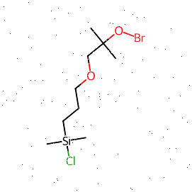 CC(C)(COCCC[Si](C)(C)Cl)OBr